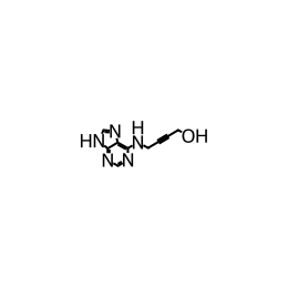 OCC#CCNc1ncnc2[nH]cnc12